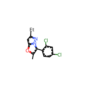 CCc1cc2oc(C)c(-c3ccc(Cl)cc3Cl)n2n1